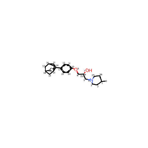 CC1CCN(C[C@H](O)COc2ccc(C34CC5CC(CC3C5)C4)cc2)CC1